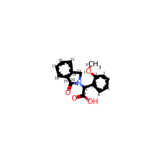 COc1ccccc1C(C(=O)O)N1Cc2ccccc2C1=O